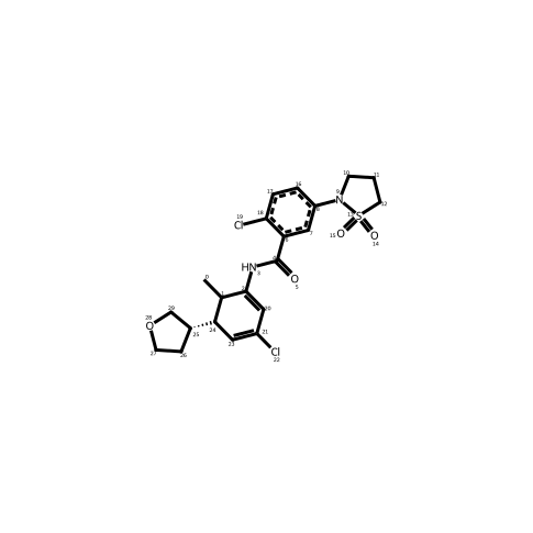 CC1C(NC(=O)c2cc(N3CCCS3(=O)=O)ccc2Cl)=CC(Cl)=CC1[C@@H]1CCOC1